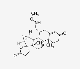 CONC[C@@H]1CC2=CC(=O)CC[C@]2(C)C2=CC[C@@]3(C)C(C21)[C@@H]1C[C@@H]1[C@@]31CCC(=O)O1